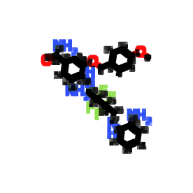 COc1ccc(COc2cc(C(N)=O)cc(N)c2NCC(F)(F)C(F)(F)CNc2ccccc2N)cc1